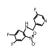 O=[N+]([O-])c1cc(F)c(F)cc1NCc1cncc(F)c1